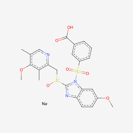 COc1ccc2nc([S+]([O-])Cc3ncc(C)c(OC)c3C)n(S(=O)(=O)c3cccc(C(=O)O)c3)c2c1.[Na]